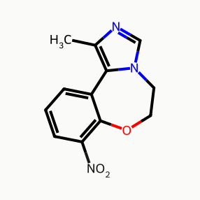 Cc1ncn2c1-c1cccc([N+](=O)[O-])c1OCC2